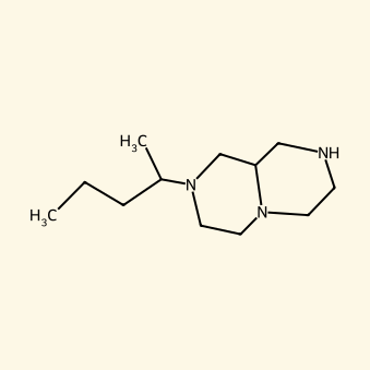 CCCC(C)N1CCN2CCNCC2C1